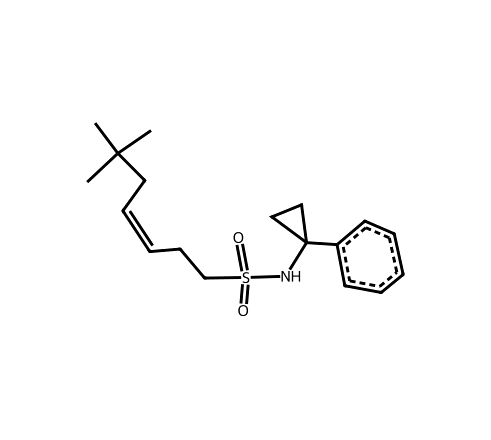 CC(C)(C)C/C=C\CCS(=O)(=O)NC1(c2ccccc2)CC1